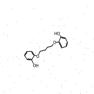 Oc1ccccc1OCCCCOc1ccccc1O